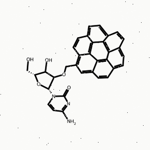 Nc1ccn([C@@H]2O[C@H](CO)C(O)C2OCc2cc3ccc4ccc5ccc6ccc7ccc2c2c7c6c5c4c32)c(=O)n1